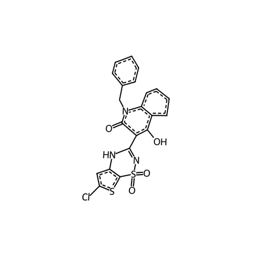 O=c1c(C2=NS(=O)(=O)c3sc(Cl)cc3N2)c(O)c2ccccc2n1Cc1ccccc1